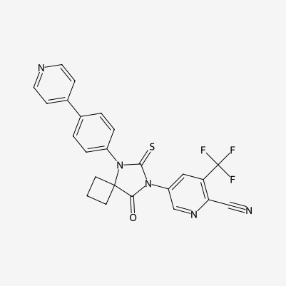 N#Cc1ncc(N2C(=O)C3(CCC3)N(c3ccc(-c4ccncc4)cc3)C2=S)cc1C(F)(F)F